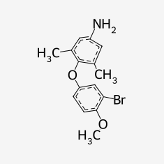 COc1ccc(Oc2c(C)cc(N)cc2C)cc1Br